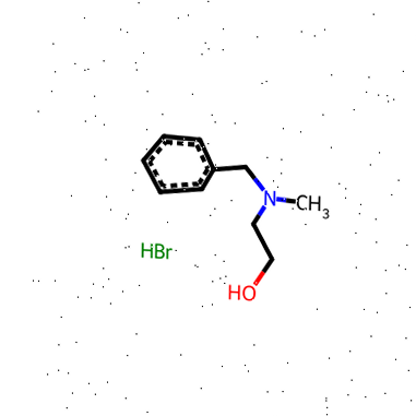 Br.CN(CCO)Cc1ccccc1